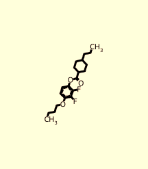 CCCCOc1ccc(OC(=O)C2CCC(CCC)CC2)c(F)c1F